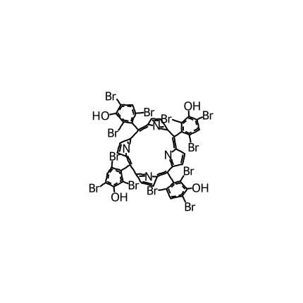 Oc1c(Br)cc(Br)c(C2=C3C=CC(=N3)C(c3c(Br)cc(Br)c(O)c3Br)=C3C=CC(=N3)C(c3c(Br)cc(Br)c(O)c3Br)=C3C=CC(=N3)C(c3c(Br)cc(Br)c(O)c3Br)=C3C=CC2=N3)c1Br